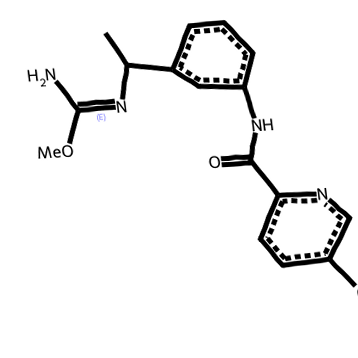 CO/C(N)=N/C(C)c1cccc(NC(=O)c2ccc(C#N)cn2)c1